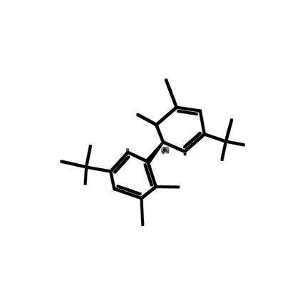 CC1=CC(C(C)(C)C)=[C][C@@H](c2[c]c(C(C)(C)C)cc(C)c2C)C1C